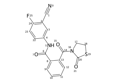 N#Cc1cc(NC(=O)c2ccccc2C(=O)N2CCSC2=O)ccc1F